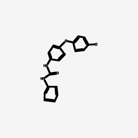 O=C(Nc1ccccc1)Nc1ccc(Oc2ccc(Cl)cc2)cc1